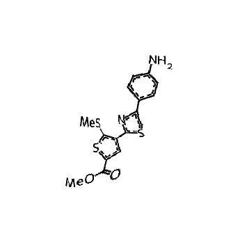 COC(=O)c1cc(-c2nc(-c3ccc(N)cc3)cs2)c(SC)s1